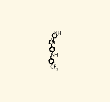 FC(F)(F)c1ccc(CNc2ccc(-c3ccn(C4CCNCC4)n3)cc2)cc1